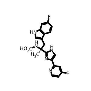 C[C@@](Cc1c[nH]c2cc(F)ccc12)(NC(=O)O)c1nc(-c2cc(F)ccn2)c[nH]1